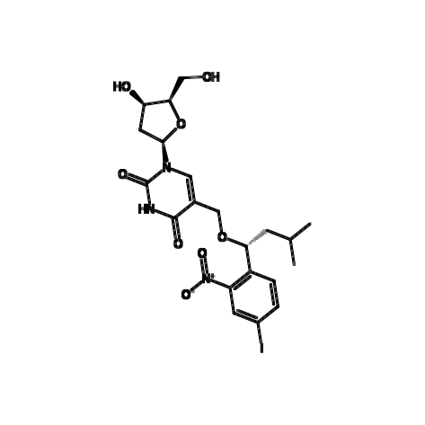 CC(C)C[C@@H](OCc1cn([C@H]2C[C@@H](O)[C@@H](CO)O2)c(=O)[nH]c1=O)c1ccc(I)cc1[N+](=O)[O-]